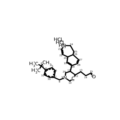 CC(C)(C)c1ccc(CN2CCC(CCC=O)C(C3=CC4C=CNCCC4C=C3)C2)cc1.Cl.Cl